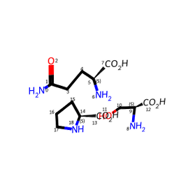 NC(=O)CC[C@H](N)C(=O)O.N[C@@H](CO)C(=O)O.O=C(O)[C@@H]1CCCN1